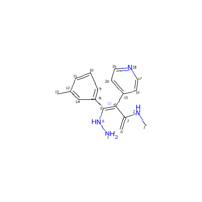 C=C(NC)/C(=C(\NN)c1cccc(C)c1)c1ccncc1